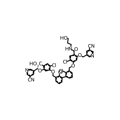 N#Cc1cncc(COc2cc(OCc3cccc(-c4cccc(COc5cc(OCc6cncc(C#N)c6)c(C(=O)NCCCO)cc5Cl)c4Cl)c3Cl)c(Cl)cc2C(=O)O)c1